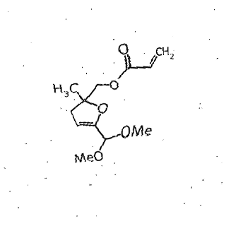 C=CC(=O)OCC1(C)CC=C(C(OC)OC)O1